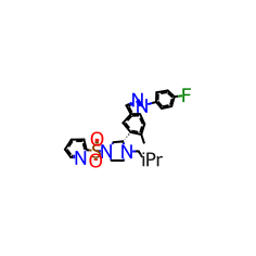 Cc1cc2c(cnn2-c2ccc(F)cc2)cc1[C@H]1CN(S(=O)(=O)c2ccccn2)CCN1CC(C)C